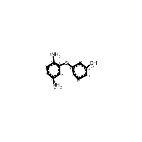 Nc1ccc(N)c(Sc2cccc(O)c2)c1